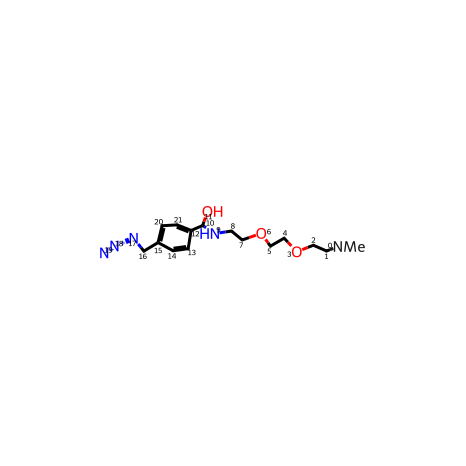 CNCCOCCOCCNC(O)c1ccc(CN=[N+]=[N-])cc1